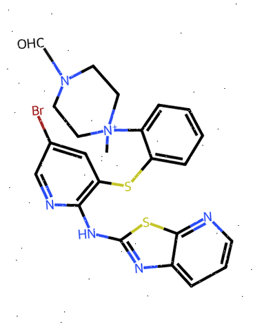 C[N+]1(c2ccccc2Sc2cc(Br)cnc2Nc2nc3cccnc3s2)CCN(C=O)CC1